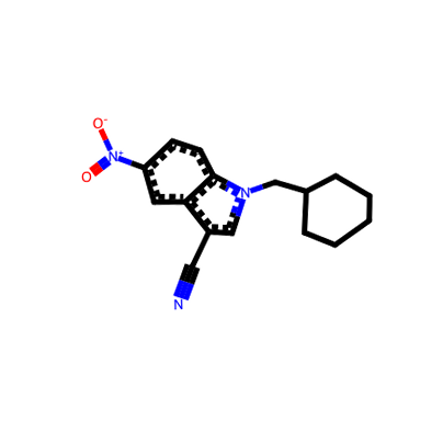 N#Cc1cn(CC2CCCCC2)c2ccc([N+](=O)[O-])cc12